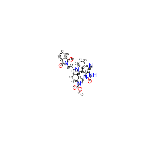 CCOC(=O)n1cc(-n2c(-c3cn(CCCN4C(=O)c5ccccc5C4=O)c4ccccc34)c(C#N)[nH]c2=O)c2ccccc21